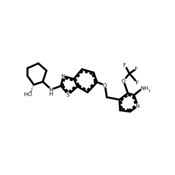 Nc1nccc(COc2ccc3nc(NC4CCCC[C@H]4O)sc3c2)c1OC(F)(F)F